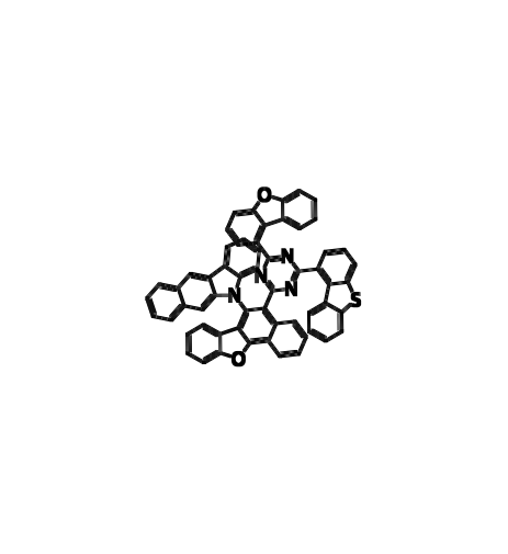 c1ccc2cc3c(cc2c1)c1ccccc1n3-c1c(-c2nc(-c3cccc4oc5ccccc5c34)nc(-c3cccc4sc5ccccc5c34)n2)c2ccccc2c2oc3ccccc3c12